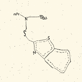 CCCN(Sc1nc2ccccc2s1)C(C)(C)C